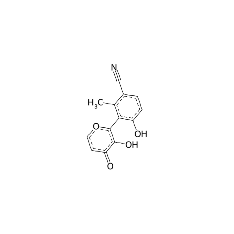 Cc1c(C#N)ccc(O)c1-c1occc(=O)c1O